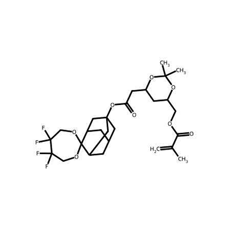 C=C(C)C(=O)OCC1CC(CC(=O)OC23CC4CC(C2)C2(OCC(F)(F)C(F)(F)CO2)C(C4)C3)OC(C)(C)O1